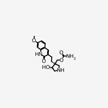 COc1ccc2cc(CC[C@@]3(COC(N)=O)CNC[C@H]3O)c(=O)[nH]c2c1